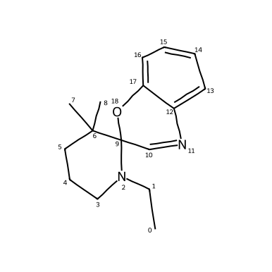 CCN1CCCC(C)(C)C12C=Nc1ccccc1O2